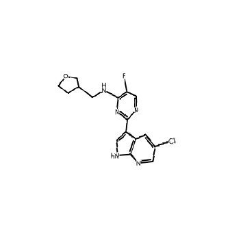 Fc1cnc(-c2c[nH]c3ncc(Cl)cc23)nc1NCC1CCOC1